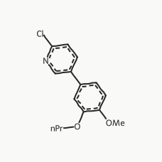 CCCOc1cc(-c2ccc(Cl)nc2)ccc1OC